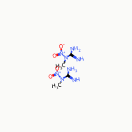 CN(C(=N)N)[N+](=O)[O-].CN(C(=N)N)[N+](=O)[O-]